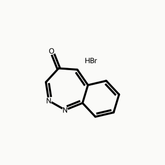 Br.O=c1cnnc2ccccc2c1